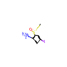 C[S+]([O-])c1cc(I)ccc1N